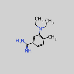 [CH2]c1ccc(C(=N)N)cc1N(CC)CC